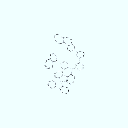 c1ccc(C2(c3ccccc3)c3ccccc3-c3c(N(c4ccc(-c5cccc6ccccc56)cc4)c4cccc(-c5cccc(-c6ccc7c(ccc8ccccc87)c6)c5)c4)cccc32)cc1